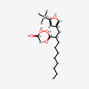 CCCCCCCCC(Cc1coc([Si](C)(C)C)c1)C(=O)OOC(C)=O